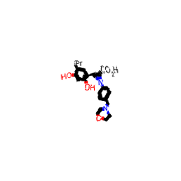 CC(C)c1cc([C@H]2C(C(=O)O)N2c2ccc(CN3CCOCC3)cc2)c(O)cc1O